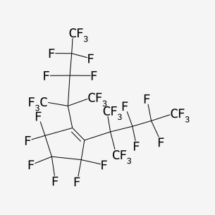 FC(F)(F)C(F)(F)C(F)(F)C(C1=C(C(C(F)(F)F)(C(F)(F)F)C(F)(F)C(F)(F)C(F)(F)F)C(F)(F)C(F)(F)C1(F)F)(C(F)(F)F)C(F)(F)F